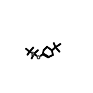 CC(C)(C)C1CC=C(O[Si](C)(C)C(C)(C)C)CC1